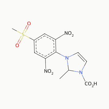 CC1N(C(=O)O)C=CN1c1c([N+](=O)[O-])cc(S(C)(=O)=O)cc1[N+](=O)[O-]